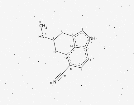 CNC1Cc2c[nH]c3ccc(C#N)c(c23)C1